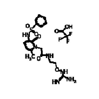 Cc1ccc(NS(=O)(=O)c2ccccc2)c(=O)n1CC(=O)NCCONC(=N)N.O=C(O)C(F)(F)F